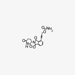 NC(=O)OCC#Cc1cccc2c1C(=O)N(C1CCC(=O)NC1=O)C2=O